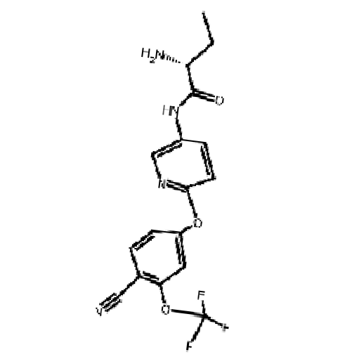 CC[C@@H](N)C(=O)Nc1ccc(Oc2ccc(C#N)c(OC(F)(F)F)c2)nc1